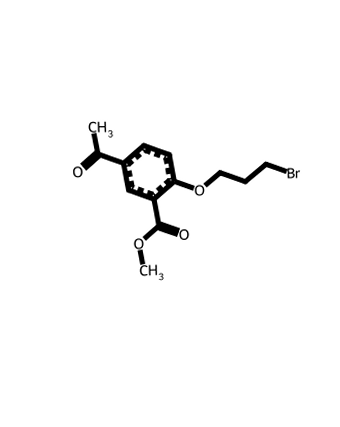 COC(=O)c1cc(C(C)=O)ccc1OCCCBr